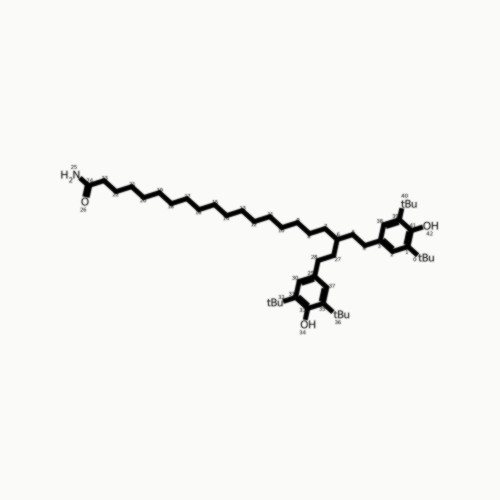 CC(C)(C)c1cc(CCC(CCCCCCCCCCCCCCCCCC(N)=O)CCc2cc(C(C)(C)C)c(O)c(C(C)(C)C)c2)cc(C(C)(C)C)c1O